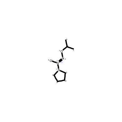 CC(C)O/N=[N+](\[O-])N1CCCC1